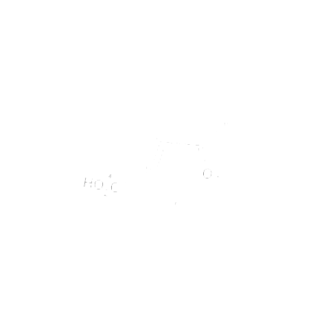 C=C1C=C(C(=O)O)CO1